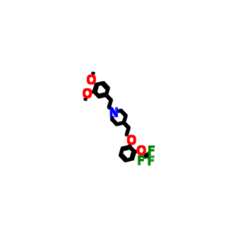 COc1ccc(CCN2CCC(CCOc3ccccc3OC(F)(F)F)CC2)cc1OC